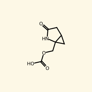 O=C1CC2CC2(COC(=O)O)N1